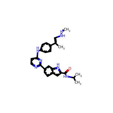 C=NN/C=C(\C)c1ccc(Nc2ccnc(-c3ccc4cc(C(=O)NC(C)C)[nH]c4c3)n2)cc1